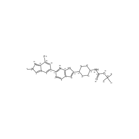 Cn1cc2cc(-c3ncc4cc(C5CCC(NC(=O)OC(C)(C)C)CC5)sc4n3)cc(F)c2n1